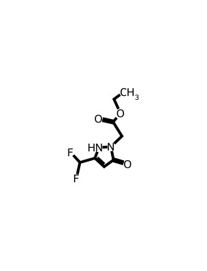 CCOC(=O)Cn1[nH]c(C(F)F)cc1=O